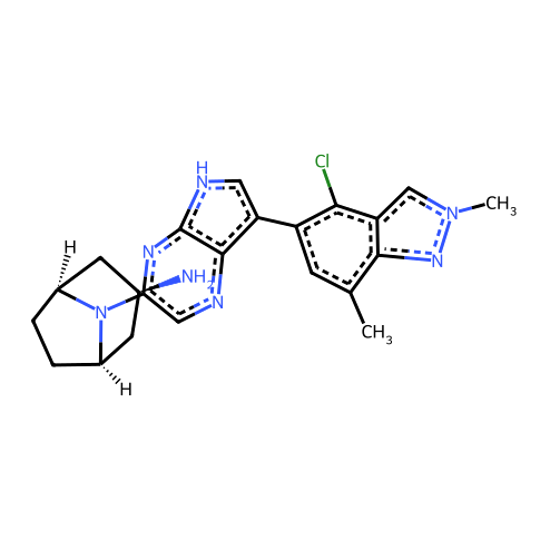 Cc1cc(-c2c[nH]c3nc(N4[C@@H]5CC[C@H]4C[C@@H](N)C5)cnc23)c(Cl)c2cn(C)nc12